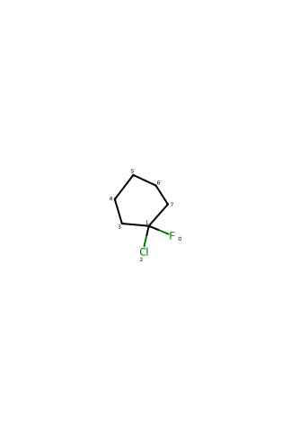 FC1(Cl)CCCCC1